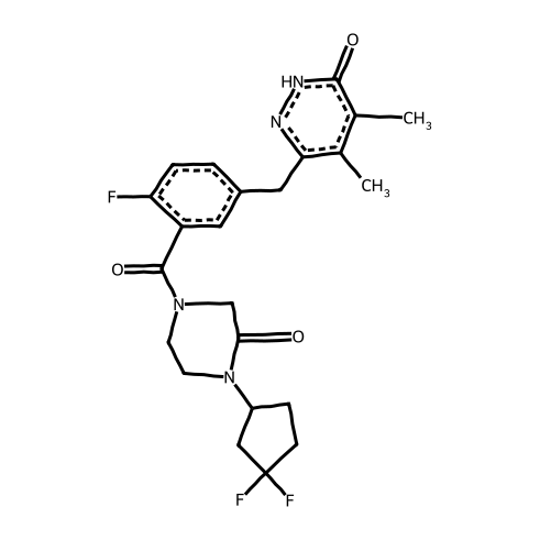 Cc1c(Cc2ccc(F)c(C(=O)N3CCN(C4CCC(F)(F)C4)C(=O)C3)c2)n[nH]c(=O)c1C